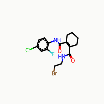 O=C(NCCBr)C1=C(C(=O)Nc2ccc(Cl)cc2F)CCCC1